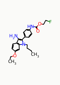 CCCCn1c(-c2ccc(NC(=O)OCCF)cc2)c(N)c2ccc(OCC)cc21